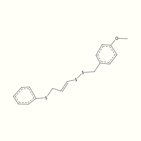 COc1ccc(CSS/C=C/CSc2ccccc2)cc1